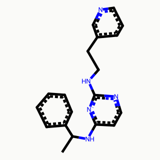 CC(Nc1ccnc(NCCc2cccnc2)n1)c1ccccc1